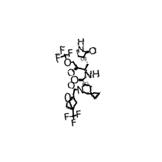 O=C(COC(F)(F)F)C(C[C@@H]1CCNC1=O)NC(=O)[C@@H]1CC2(CC2)CN1C(=O)C12CC(C(F)(F)F)(CO1)C2